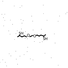 CC(S)CCCOCCOCCCC(C)S